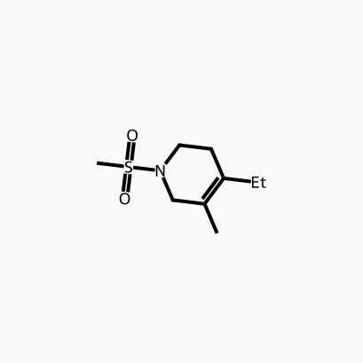 CCC1=C(C)CN(S(C)(=O)=O)CC1